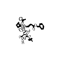 CC(=O)OC1([S@](=O)(CC[C@H](NC(=O)OC(C)(C)C)C(=O)O)=NCCC(=O)OCc2ccccc2)CCC1